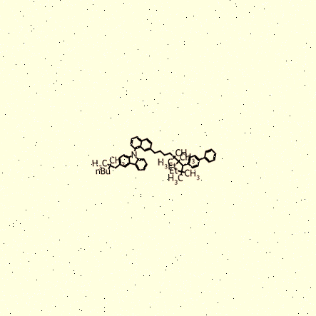 CCCCC(C)(C)Cc1ccc2c(c1)c1ccccc1n2-c1cccc2ccc(CCCCC(C)(C)C(C)(CC)C(c3ccc(-c4ccccc4)cc3)C(C)(C)CC)cc12